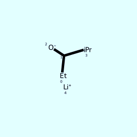 CCC([O-])C(C)C.[Li+]